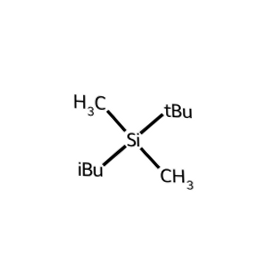 [CH2]C(CC)[Si](C)(C)C(C)(C)C